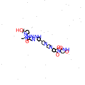 C=CCn1c(=O)c2cnc(Nc3ccc(C4CCN(C5CCN(c6ccc7c(c6)C(=O)N(C6CCC(=O)NC6=O)C7=O)CC5)CC4)cc3)nc2n1-c1cccc(C(C)(C)O)n1